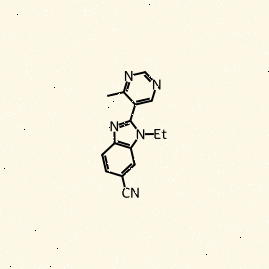 CCn1c(-c2cncnc2C)nc2ccc(C#N)cc21